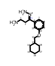 NCC/C(=N\N)c1cccc(OCC2CCCCC2)c1